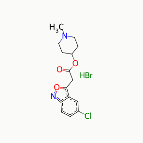 Br.CN1CCC(OC(=O)Cc2onc3ccc(Cl)cc23)CC1